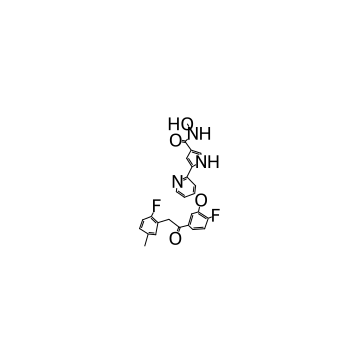 Cc1ccc(F)c(CC(=O)c2ccc(F)c(Oc3ccnc(-c4cc(C(=O)NO)c[nH]4)c3)c2)c1